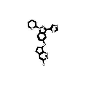 Clc1cc2c(nn1)C(Oc1ccc3c(c1)c(-c1cnco1)nn3C1CCCCO1)CC2